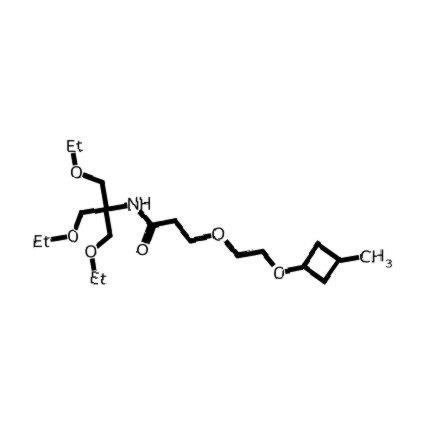 CCOCC(COCC)(COCC)NC(=O)CCOCCOC1CC(C)C1